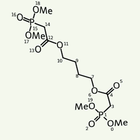 COP(=O)(CC(=O)OCCCCOC(=O)CP(=O)(OC)OC)OC